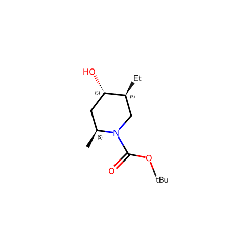 CC[C@H]1CN(C(=O)OC(C)(C)C)[C@@H](C)C[C@@H]1O